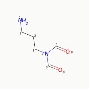 NCCCN(C=O)C=O